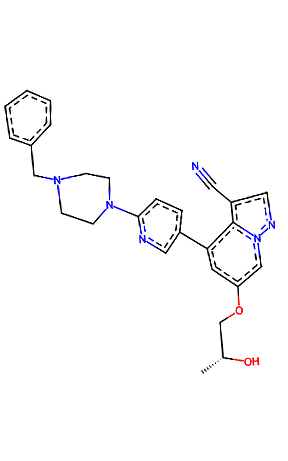 C[C@@H](O)COc1cc(-c2ccc(N3CCN(Cc4ccccc4)CC3)nc2)c2c(C#N)cnn2c1